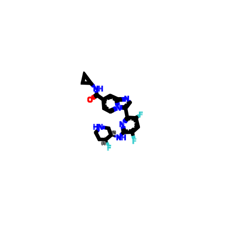 O=C(NC1CC1)c1ccn2c(-c3nc(N[C@H]4CNCC[C@@H]4F)c(F)cc3F)cnc2c1